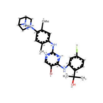 COc1cc(Nc2ncc(Br)c(Nc3cc(F)ccc3C(C)(C)O)n2)c(C)cc1N1CC2CC(C1)N2C